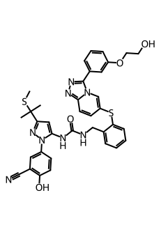 CSC(C)(C)c1cc(NC(=O)NCc2ccccc2Sc2ccc3nnc(-c4cccc(OCCO)c4)n3c2)n(-c2ccc(O)c(C#N)c2)n1